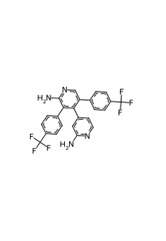 Nc1cc(-c2c(-c3ccc(C(F)(F)F)cc3)cnc(N)c2-c2ccc(C(F)(F)F)cc2)ccn1